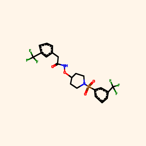 O=C(Cc1cccc(C(F)(F)F)c1)NOC1CCN(S(=O)(=O)c2cccc(C(F)(F)F)c2)CC1